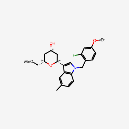 CCOc1ccc(Cn2cc([C@H]3C[C@@H](O)C[C@@H](COC)O3)c3cc(C)ccc32)c(F)c1